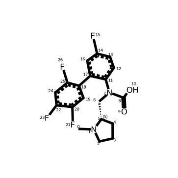 CN1CCC[C@H]1CN(C(=O)O)c1ccc(F)cc1-c1cc(F)c(F)cc1F